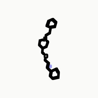 C(=C\c1ccccc1)/COCC1CCN(CCc2ccccc2)CC1